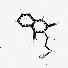 O=c1sc2ccccc2c(=O)n1CCO[N+](=O)[O-]